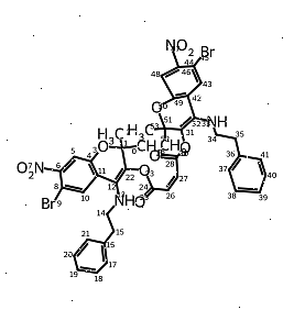 CC1(C)Oc2cc([N+](=O)[O-])c(Br)cc2C(NCCc2ccccc2)=C1OC(=O)/C=C\C(=O)OC1=C(NCCc2ccccc2)c2cc(Br)c([N+](=O)[O-])cc2OC1(C)C